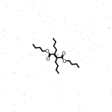 CCCCOC(=O)/C(CCCC)=C(\CCCC)C(=O)OCCCC